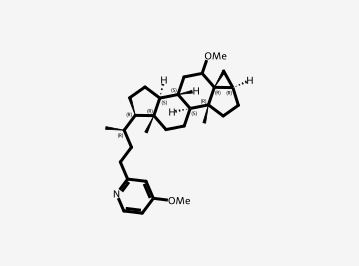 COc1ccnc(CC[C@@H](C)[C@H]2CC[C@H]3[C@@H]4CC(OC)[C@]56C[C@H]5CC[C@]6(C)[C@H]4CC[C@]23C)c1